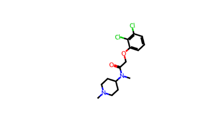 CN1CCC(N(C)C(=O)COc2cccc(Cl)c2Cl)CC1